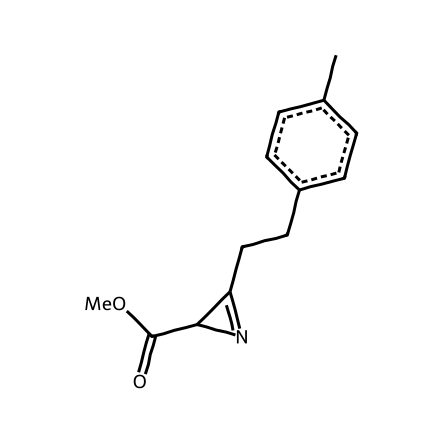 COC(=O)C1N=C1CCc1ccc(C)cc1